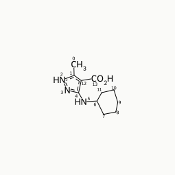 Cc1[nH]nc(NC2CCCCC2)c1C(=O)O